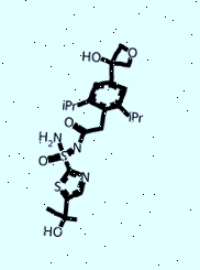 CC(C)c1cc(C2(O)COC2)cc(C(C)C)c1CC(=O)N=S(N)(=O)c1ncc(C(C)(C)O)s1